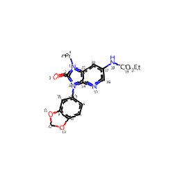 CCCn1c(=O)n(-c2ccc3c(c2)OCO3)c2ncc(NC(=O)OCC)cc21